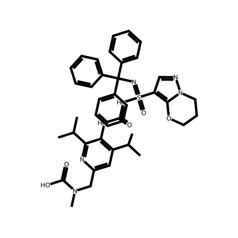 CC(C)c1cc(CN(C)C(=O)O)nc(C(C)C)c1NC(=O)NS(=O)(=NC(c1ccccc1)(c1ccccc1)c1ccccc1)c1cnn2c1OCCC2